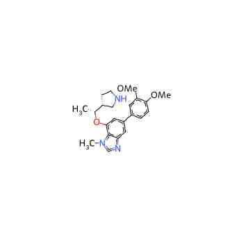 COc1ccc(-c2cc(O[C@H](C)[C@@H]3CCNC3)c3c(c2)ncn3C)cc1OC